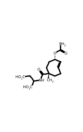 BC(=O)O[C@@H]1/C=C/CC[C@](C)(C(=O)NC(CC(=O)O)C(=O)O)CC1